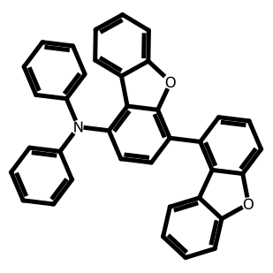 c1ccc(N(c2ccccc2)c2ccc(-c3cccc4oc5ccccc5c34)c3oc4ccccc4c23)cc1